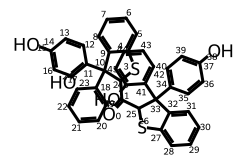 O=C(C1Sc2ccccc2C1(c1ccc(O)cc1)c1ccccc1O)C1Sc2ccccc2C1(c1ccc(O)cc1)c1ccccc1O